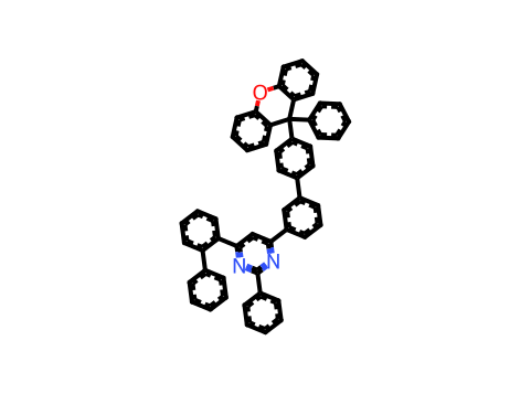 c1ccc(-c2nc(-c3cccc(-c4ccc(C5(c6ccccc6)c6ccccc6Oc6ccccc65)cc4)c3)cc(-c3ccccc3-c3ccccc3)n2)cc1